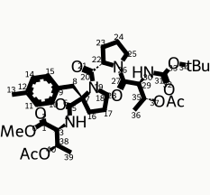 COC(=O)[C@@H](NC(=O)[C@@]1(Cc2ccc(C)cc2)CCCN1C(=O)[C@@H]1CCCN1C(=O)[C@@H](NC(=O)OC(C)(C)C)[C@@H](C)OC(C)=O)[C@@H](C)OC(C)=O